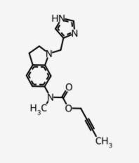 CC#CCOC(=O)N(C)c1ccc2c(c1)N(Cc1c[nH]cn1)CC2